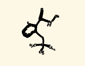 CC(C)(C)NC(=O)c1sccc1C[Si](C)(C)C